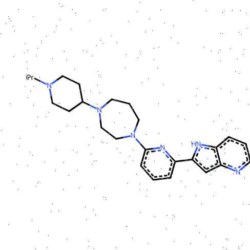 CC(C)N1CCC(N2CCCN(c3cccc(-c4cc5ncccc5[nH]4)n3)CC2)CC1